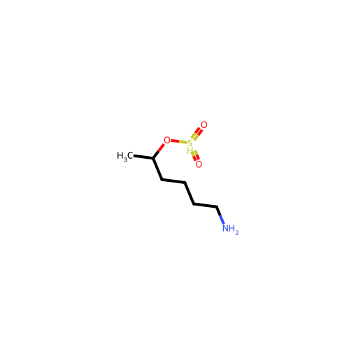 CC(CCCCN)O[SH](=O)=O